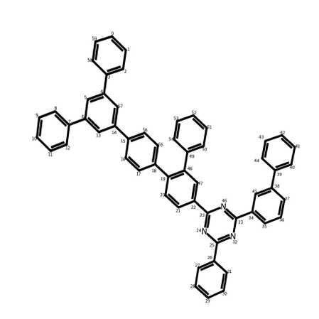 c1ccc(-c2cc(-c3ccccc3)cc(-c3ccc(-c4ccc(-c5nc(-c6ccccc6)nc(-c6cccc(-c7ccccc7)c6)n5)cc4-c4ccccc4)cc3)c2)cc1